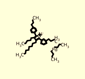 CCCCCCCCC1=C(c2cccc(CCCC)c2)[N+](=[N-])C(c2ccc(CCCC)cc2)=C1CCCCC.CCC[CH2][Pd][CH2]CCC